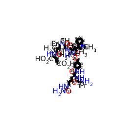 C/C(=C\[C@H](C(C)C)N(C)C(=O)[C@@H](NC(=O)[C@@H](N(C)C(=O)OCc1ccc(NC(=O)[C@H](CCCCNC(N)=O)NC(=O)C(N)C(C)C)cc1)C(C)(C)c1cn(C)c2ccccc12)C(C)(C)C)C(=O)N[C@H](CCC(=O)O)C(=O)O